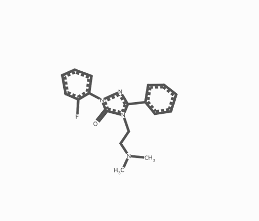 CN(C)CCn1c(-c2ccccc2)nn(-c2ccccc2F)c1=O